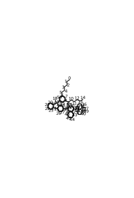 CCCCCCc1cc(CCCCCC)cc(C2(C)c3ccccc3-c3ccc(-c4ncc(B5OC(C)(C)C(C)(C)O5)c5ccccc45)cc32)c1